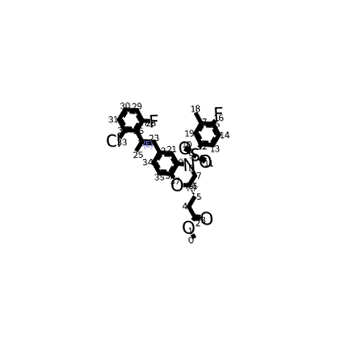 COC(=O)CC[C@H]1CN(S(=O)(=O)c2ccc(F)c(C)c2)c2cc(/C=C(\C)c3c(F)cccc3Cl)ccc2O1